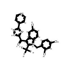 O=C(c1nc(-c2ccncc2)no1)c1c(C(F)(F)F)n(Cc2ccc(Cl)cc2Cl)c2ccc(Cl)cc12